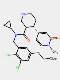 COCCc1cc(Cl)c(Cl)c(CN(C(=O)C2CNCC[C@@H]2c2ccn(C)c(=O)c2)C2CC2)c1